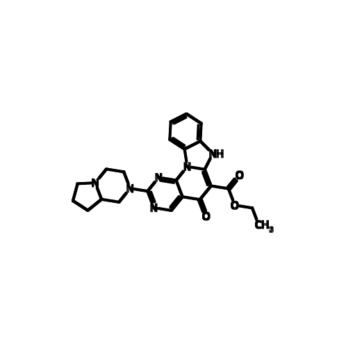 CCOC(=O)c1c(=O)c2cnc(N3CCN4CCCC4C3)nc2n2c1[nH]c1ccccc12